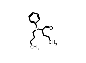 CCCCN(c1ccccc1)C(C=O)CCC